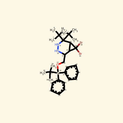 CC(C)(C)C1(C(C)(C)C)NNC(CO[Si](c2ccccc2)(c2ccccc2)C(C)(C)C)C2C1C2(Br)Br